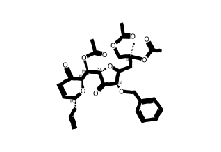 C=CC[C@@H]1C=CC(=O)[C@@H]([C@@H](OC(C)=O)[C@@H]2OC(C[C@@](C)(COC(C)=O)OC(C)=O)[C@H](OCc3ccccc3)C2=O)O1